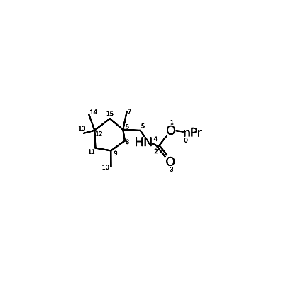 CCCOC(=O)NCC1(C)CC(C)CC(C)(C)C1